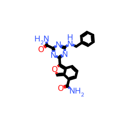 NC(=O)c1nc(NCc2ccccc2)nc(-c2occ3c(C(N)=O)cccc23)n1